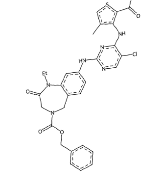 CCN1C(=O)CN(C(=O)OCc2ccccc2)Cc2ccc(Nc3ncc(Cl)c(Nc4c(C)csc4C(=O)NC)n3)cc21